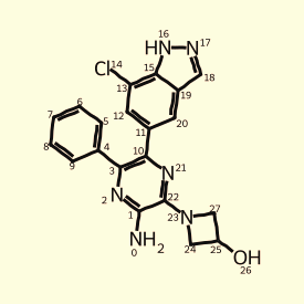 Nc1nc(-c2ccccc2)c(-c2cc(Cl)c3[nH]ncc3c2)nc1N1CC(O)C1